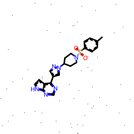 Cc1ccc(S(=O)(=O)N2CCC(n3cc(-c4ncnc5[nH]ccc45)cn3)CC2)cc1